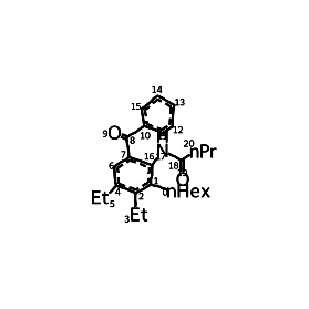 CCCCCCc1c(CC)c(CC)cc(C(=O)c2ccccc2)c1NC(=O)CCC